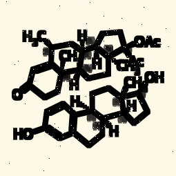 CC(=O)O[C@]1(C(C)=O)CC[C@H]2[C@@H]3C[C@H](C)C4=CC(=O)CC[C@]4(C)[C@H]3CC[C@@]21C.C[C@]12CC[C@@H]3c4ccc(O)cc4CC[C@H]3[C@@H]1CC[C@@H]2O